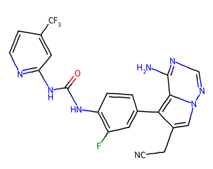 N#CCc1cn2ncnc(N)c2c1-c1ccc(NC(=O)Nc2cc(C(F)(F)F)ccn2)c(F)c1